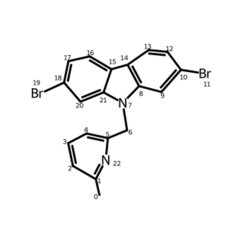 Cc1cccc(Cn2c3cc(Br)ccc3c3ccc(Br)cc32)n1